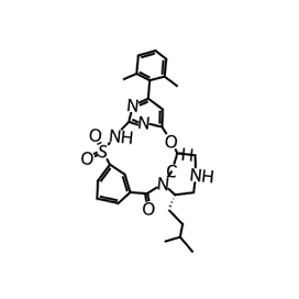 Cc1cccc(C)c1-c1cc2nc(n1)NS(=O)(=O)c1cccc(c1)C(=O)N1C[C@@H](CNC[C@@H]1CCC(C)C)O2